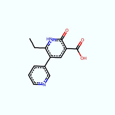 CCc1[nH]c(=O)c(C(=O)O)cc1-c1cccnc1